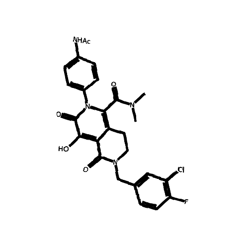 CC(=O)Nc1ccc(-n2c(C(=O)N(C)C)c3c(c(O)c2=O)C(=O)N(Cc2ccc(F)c(Cl)c2)CC3)cc1